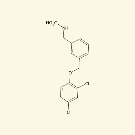 O=C(O)NCc1cccc(COc2ccc(Cl)cc2Cl)c1